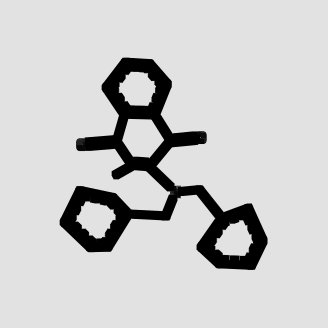 CC1=C(N(Cc2ccccc2)Cc2ccccc2)C(=O)c2ccccc2C1=O